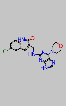 O=c1[nH]c2ccc(Cl)cc2cc1CNc1nc(N2CCOCC2)c2nc[nH]c2n1